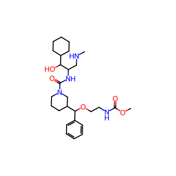 CNCC(NC(=O)N1CCCC(C(OCCNC(=O)OC)c2ccccc2)C1)C(O)C1CCCCC1